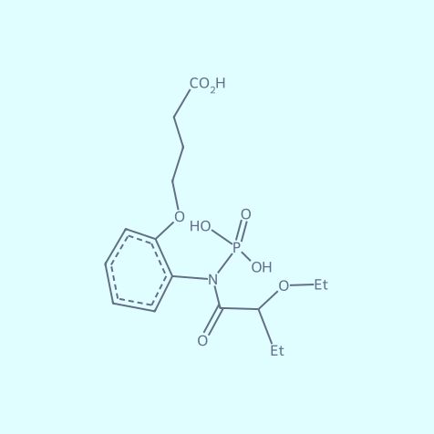 CCOC(CC)C(=O)N(c1ccccc1OCCCC(=O)O)P(=O)(O)O